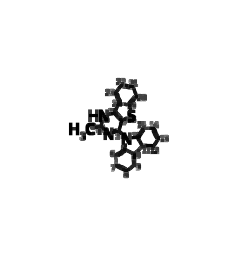 C[C@@H]1N=C(n2c3ccccc3c3ccccc32)c2sc3ccccc3c2N1